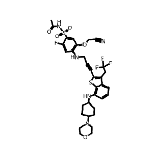 CC(=O)NS(=O)(=O)c1cc(OCC#N)c(NCC#Cc2sc3c(NC4CCC(N5CCOCC5)CC4)cccc3c2CC(F)(F)F)cc1F